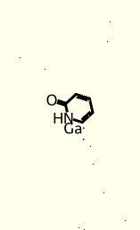 O=c1cccc[nH]1.[Ga]